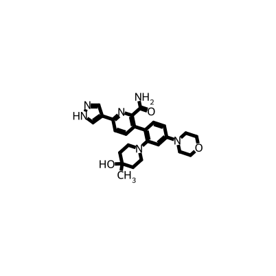 CC1(O)CCN(c2cc(N3CCOCC3)ccc2-c2ccc(-c3cn[nH]c3)nc2C(N)=O)CC1